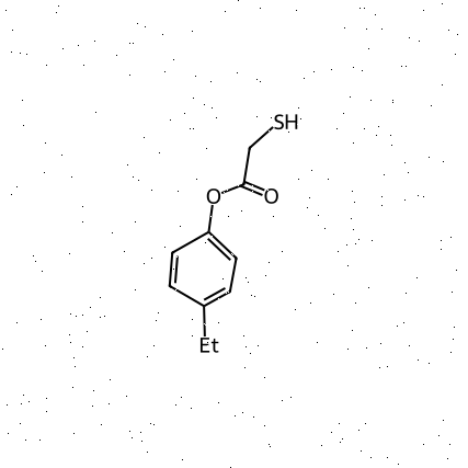 CCc1ccc(OC(=O)CS)cc1